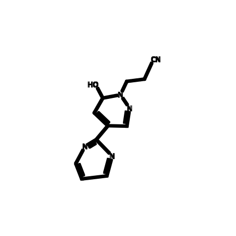 N#CCCN1N=CC(c2ncccn2)=CC1O